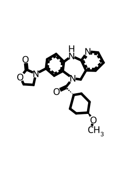 CO[C@H]1CC[C@H](C(=O)N2Cc3cccnc3Nc3ccc(N4CCOC4=O)cc32)CC1